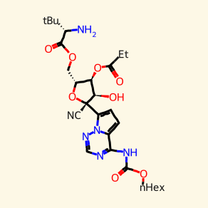 CCCCCCOC(=O)Nc1ncnn2c([C@]3(C#N)O[C@H](COC(=O)[C@@H](N)C(C)(C)C)[C@@H](OC(=O)CC)[C@H]3O)ccc12